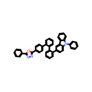 c1ccc(-c2nnc(-c3ccc(-c4ccccc4-c4ccccc4-c4ccc5c(c4)c4ccccc4n5-c4ccccc4)cc3)o2)cc1